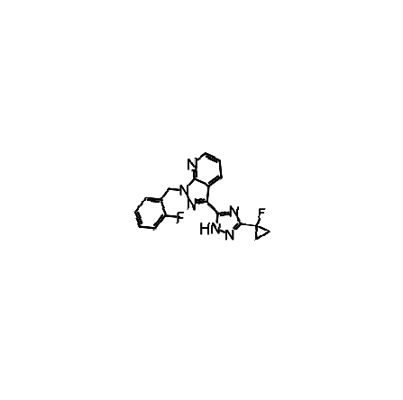 Fc1ccccc1Cn1nc(-c2nc(C3(F)CC3)n[nH]2)c2cccnc21